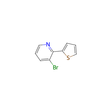 Brc1cccnc1-c1cccs1